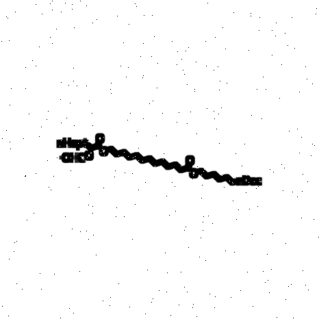 CCCCCCCCCCCCCCCCOC(=O)CCCCCCCCCCCCOC(=O)C(CCCCCCC)O[C]=O